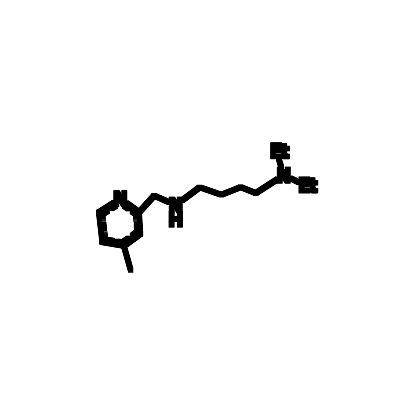 CCN(CC)CCCCNCc1cc(C)ccn1